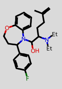 C=C(C)CCC(C(O)N1c2ccccc2OCCC1c1ccc(F)cc1)N(CC)CC